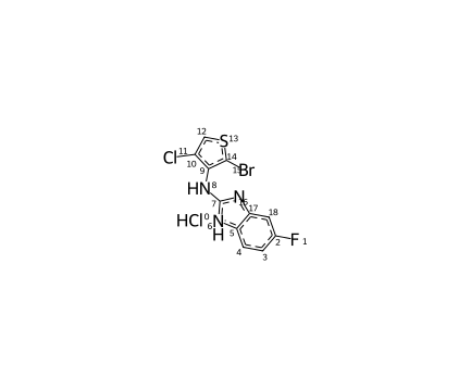 Cl.Fc1ccc2[nH]c(Nc3c(Cl)csc3Br)nc2c1